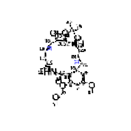 COCOc1cc(OC)cc2c1C(=O)N[C@@H](C)C/C=C\C(=O)[C@H]1OC(C)(C)O[C@H]1C/C=C/2